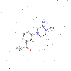 COC(=O)c1cccc(N2CCN(C)C(N)C2)c1